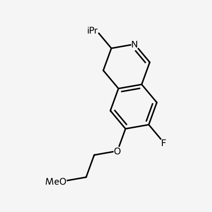 COCCOc1cc2c(cc1F)C=NC(C(C)C)C2